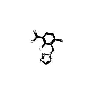 O=C(Cl)c1ccc(Br)c(Cn2ncnn2)c1Br